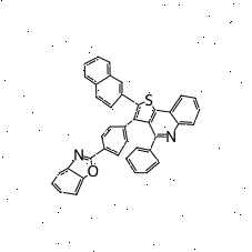 c1ccc(-c2nc3ccccc3c3sc(-c4ccc5ccccc5c4)c(-c4ccc(-c5nc6ccccc6o5)cc4)c23)cc1